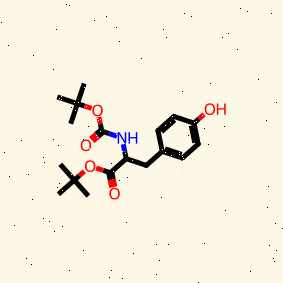 CC(C)(C)OC(=O)NC(Cc1ccc(O)cc1)C(=O)OC(C)(C)C